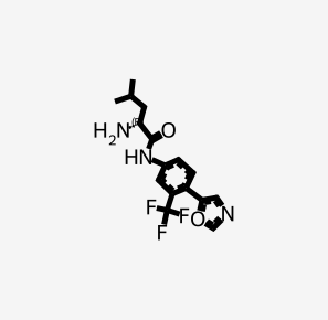 CC(C)C[C@@H](N)C(=O)Nc1ccc(-c2cnco2)c(C(F)(F)F)c1